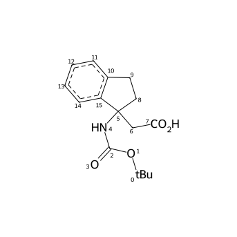 CC(C)(C)OC(=O)NC1(CC(=O)O)CCc2ccccc21